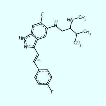 CNC(CNc1cc2c(/C=C/c3ccc(F)cc3)n[nH]c2cc1F)C(C)C